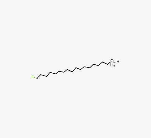 CCCCCCCCCCCCCCCCCCF.[LiH]